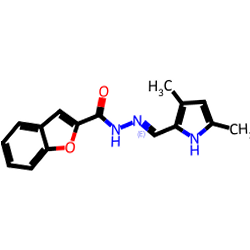 Cc1cc(C)c(/C=N/NC(=O)c2cc3ccccc3o2)[nH]1